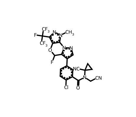 Cn1nc(C(F)(C(F)(F)F)C(F)(F)F)c2c1-n1ncc(-c3ccc(Cl)c(C(=O)N(CC#N)C4(C#N)CC4)c3)c1C(F)O2